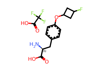 N[C@@H](Cc1ccc(OC2CC(F)C2)cc1)C(=O)O.O=C(O)C(F)(F)F